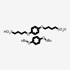 CCCCOc1ccc(OCCCC)cc1.O=S(=O)(O)CCCCOc1ccc(OCCCCS(=O)(=O)O)cc1